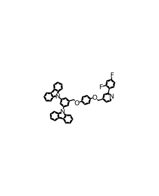 Fc1ccc(-c2cc(COc3ccc(OCc4cc(-n5c6ccccc6c6ccccc65)cc(-n5c6ccccc6c6ccccc65)c4)cc3)ccn2)c(F)c1